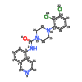 O=C(Nc1cccc2cnccc12)N1CCN(c2cccc(Cl)c2Cl)CC1